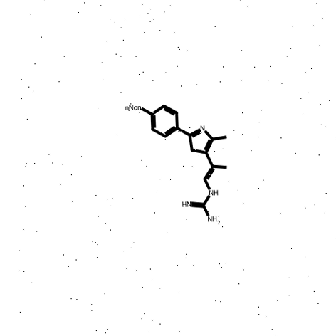 CCCCCCCCCc1ccc(C2=NC(C)=C(/C(C)=C/NC(=N)N)C2)cc1